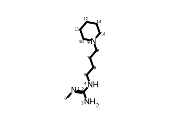 CN=C(N)NCCCCN1CCCCC1